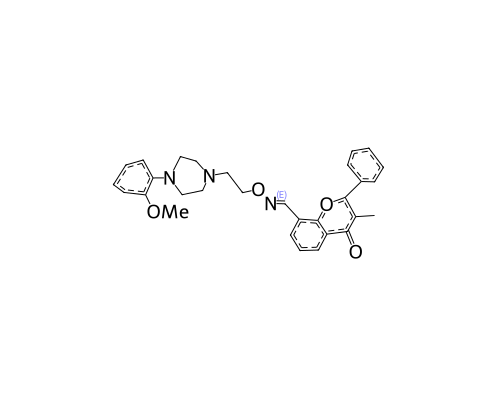 COc1ccccc1N1CCN(CCO/N=C/c2cccc3c(=O)c(C)c(-c4ccccc4)oc23)CC1